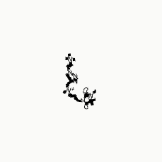 CN1C(=O)N(CCC[N+](C)(C)Cc2cn(CC[N+](C)(C)C)nn2)C(=O)C1(C)C